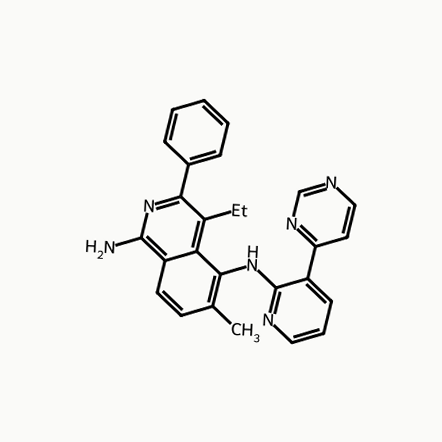 CCc1c(-c2ccccc2)nc(N)c2ccc(C)c(Nc3ncccc3-c3ccncn3)c12